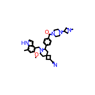 COc1cc(C)c2[nH]ccc2c1CN1CCC2(CC(C#N)C2)CC1c1ccc(C(=O)N2CCN(C3CN(C)C3)CC2)cc1